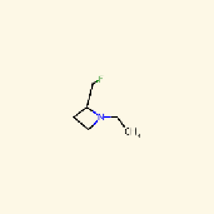 CCN1CCC1CF